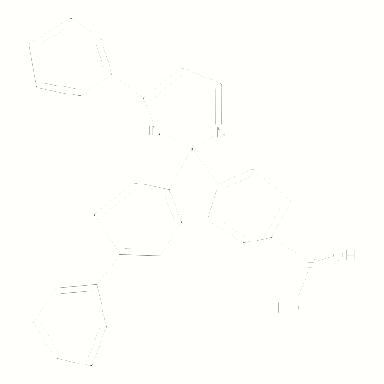 OB(O)c1ccc(C2(c3ccc(-c4ccccc4)cc3)N=CC=C(c3ccccc3)N2)cc1